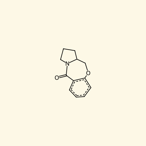 O=C1c2ccccc2OCC2CCCN12